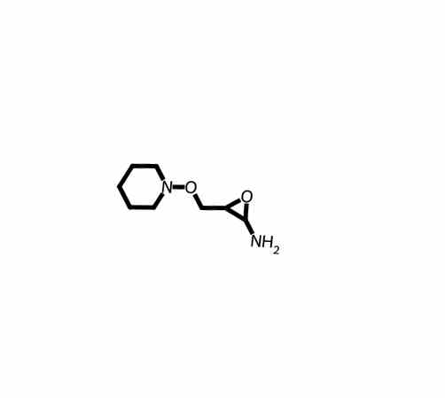 NC1OC1CON1CCCCC1